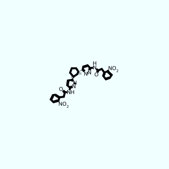 O=C(Cc1ccccc1[N+](=O)[O-])Nc1ccc([C@H]2CCC[C@H](c3ccc(NC(=O)Cc4ccccc4[N+](=O)[O-])nn3)C2)nn1